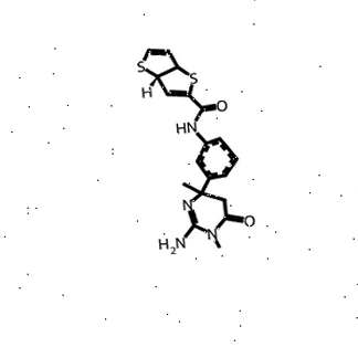 CN1C(=O)CC(C)(c2cccc(NC(=O)C3=C[C@@H]4SC=CC4S3)c2)N=C1N